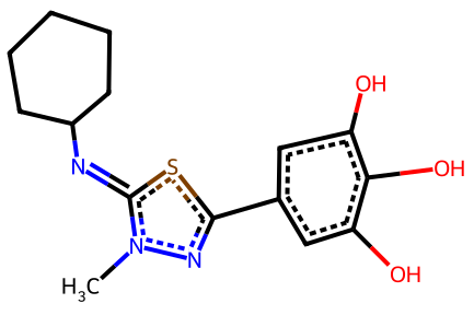 Cn1nc(-c2cc(O)c(O)c(O)c2)sc1=NC1CCCCC1